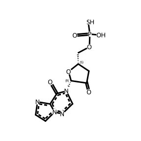 O=C1C[C@@H](COP(=O)(O)S)O[C@H]1n1cnn2ccnc2c1=O